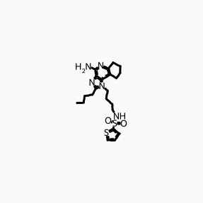 CCCCc1nc2c(N)nc3c(c2n1CCCCNS(=O)(=O)c1cccs1)CCCC3